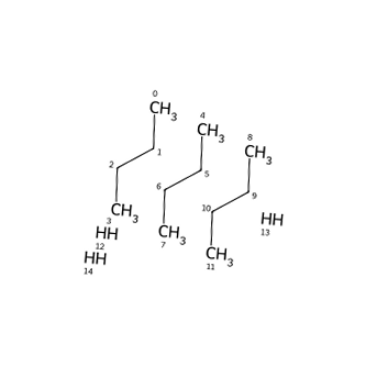 CCCC.CCCC.CCCC.[HH].[HH].[HH]